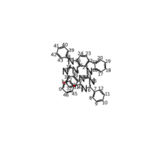 c1ccc(-c2nc(-c3ccccc3)nc(-n3c4ccccc4c4ccc5c(c43)n3c4ccccc4nc3n5-c3ccccc3)n2)cc1